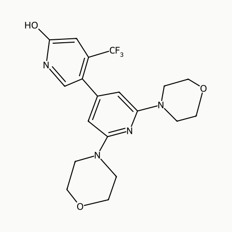 Oc1cc(C(F)(F)F)c(-c2cc(N3CCOCC3)nc(N3CCOCC3)c2)cn1